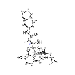 C/C(C(=O)Nc1cnc2ccccc2c1)=C(/O)[C@@H]1Oc2c(O)ccc3c2[C@@]12CCN(CC1CC1)[C@H](C3)[C@@]2(C)O